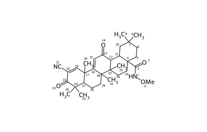 CONC(=O)C12CCC(C)(C)CC1C1C(=O)C=C3C4(C)C=C(C#N)C(=O)C(C)(C)C4CCC3(C)C1(C)CC2